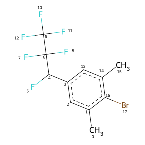 Cc1cc(C(F)C(F)(F)C(F)(F)F)cc(C)c1Br